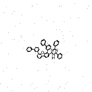 c1ccc(C2=NC(c3ccc4c(oc5c(-c6cccc(-c7ccccc7)c6)cccc54)c3-c3cccc(-c4ccccc4)c3)NC(c3ccccc3)=N2)cc1